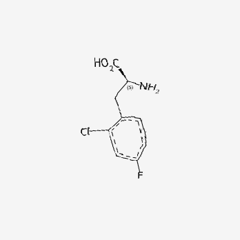 N[C@@H](Cc1ccc(F)cc1Cl)C(=O)O